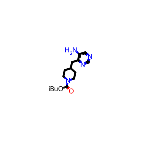 CC(C)COC(=O)N1CCC(Cc2ncncc2N)CC1